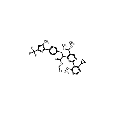 CCOC(=O)C(Cc1ccc(-c2nc(C(F)(F)F)cn2C)cc1)c1nc(-c2c(OC)ncnc2C2CC2)ncc1C(OC)OC